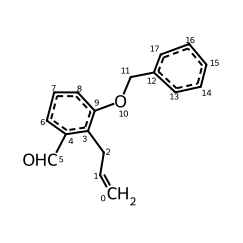 C=CCc1c(C=O)cccc1OCc1ccccc1